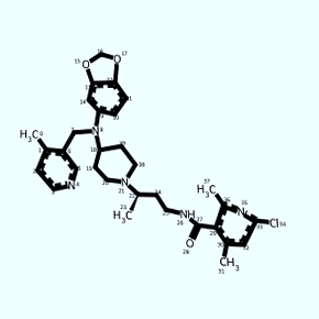 Cc1ccncc1CN(c1ccc2c(c1)OCO2)C1CCN([C@H](C)CCNC(=O)c2c(C)cc(Cl)nc2C)CC1